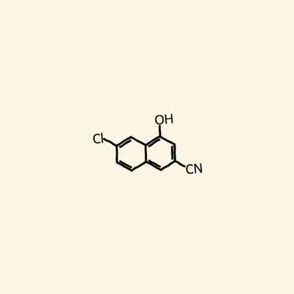 N#Cc1cc(O)c2cc(Cl)ccc2c1